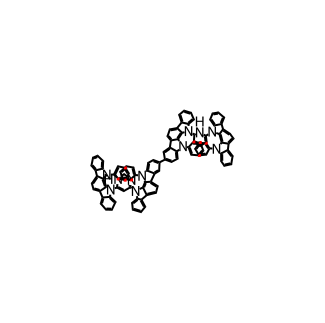 C1=CC(n2c3ccccc3c3ccc4c5cc(-c6ccc7c(c6)c6ccc8c9ccccc9n(C9=NCNC(n%10c%11ccccc%11c%11ccc%12c%13ccccc%13n(-c%13ccccc%13)c%12c%11%10)=C9)c8c6n7-c6ccccc6)ccc5n(-c5ccccc5)c4c32)NC(n2c3ccccc3c3ccc4c5ccccc5n(-c5ccccc5)c4c32)=C1